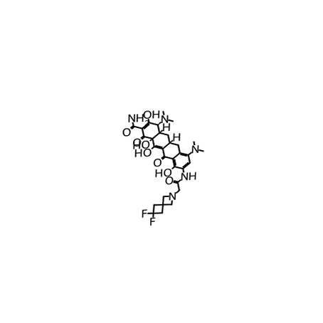 CN(C)c1cc(NC(=O)CN2CC3(C2)CC(F)(F)C3)c(O)c2c1C[C@H]1C[C@H]3[C@H](N(C)C)C(O)=C(C(N)=O)C(=O)[C@@]3(O)C(O)=C1C2=O